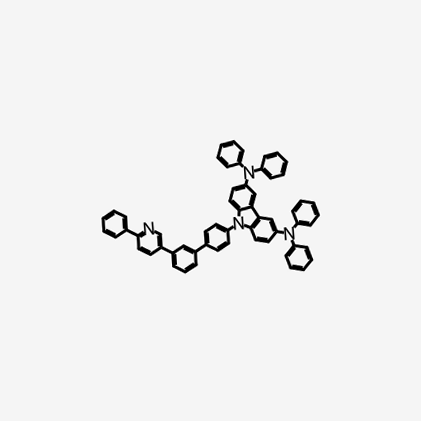 c1ccc(-c2ccc(-c3cccc(-c4ccc(-n5c6ccc(N(c7ccccc7)c7ccccc7)cc6c6cc(N(c7ccccc7)c7ccccc7)ccc65)cc4)c3)cn2)cc1